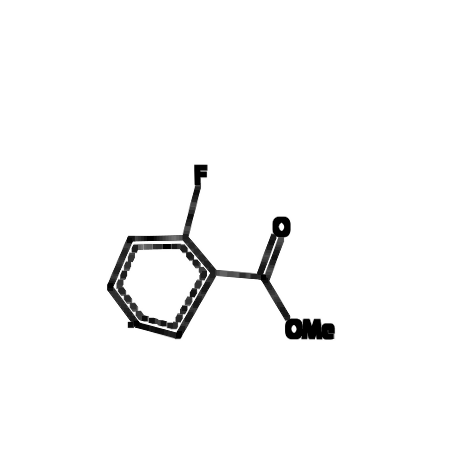 COC(=O)c1c[c]ccc1F